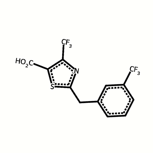 O=C(O)c1sc(Cc2cccc(C(F)(F)F)c2)nc1C(F)(F)F